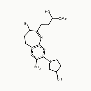 CCC1CCc2cc(N)c(N3CC[C@@H](O)C3)cc2N=C1CCC(O)OC